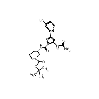 CC(C)(C)OC(=O)N1CCC[C@H](NC(=O)c2sc(-c3cccc(Br)c3)cc2NC(N)=O)C1